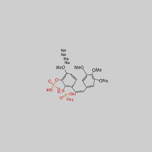 COc1cc(/C=C\c2ccc(OC)c(OP(=O)(O)O)c2OP(=O)(O)O)cc(OC)c1OC.[Na].[Na].[Na].[Na]